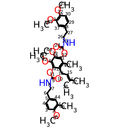 COc1ccc(CCNC(=O)Oc2c(CC=C(C)C)c(C)c(OC(=O)NCCc3ccc(OC)c(OC)c3)c(OC)c2OC)cc1C